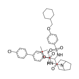 CC(C)(C)OC(=O)NC1CC2CCC(C1)N2C(=O)C(NS(=O)(=O)c1ccc(OCC2CCCCC2)cc1)C(F)(F)c1ccc(-c2ccc(Cl)cc2)cc1